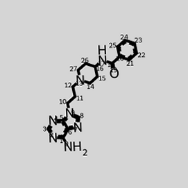 Nc1ncnc2c1ncn2CCCN1CCC(NC(=O)c2ccccc2)CC1